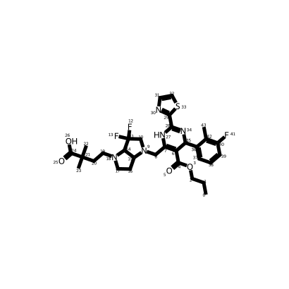 CCCOC(=O)C1=C(CN2CC(F)(F)C3C2CCN3CCC(C)(C)C(=O)O)NC(c2nccs2)=NC1c1cccc(F)c1C